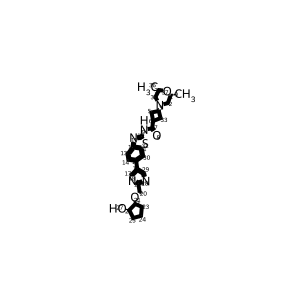 C[C@@H]1CN(C2CC(C(=O)Nc3nc4ccc(-c5cnc(CO[C@H]6CCC[C@@H]6O)nc5)cc4s3)C2)C[C@H](C)O1